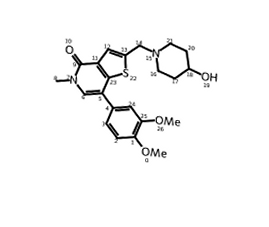 COc1ccc(-c2cn(C)c(=O)c3cc(CN4CCC(O)CC4)sc23)cc1OC